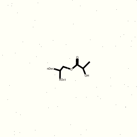 CCCCCCCCCCC(CCCCCCCC)COC(=O)C(C)O